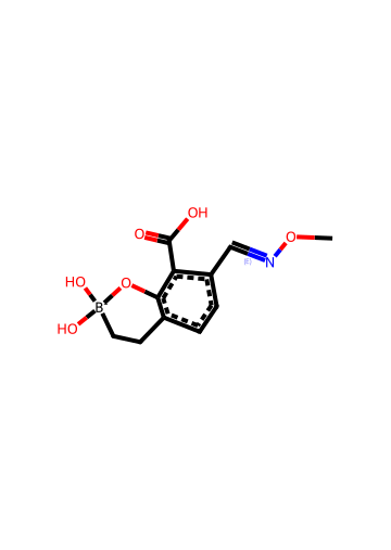 CO/N=C/c1ccc2c(c1C(=O)O)O[B-](O)(O)CC2